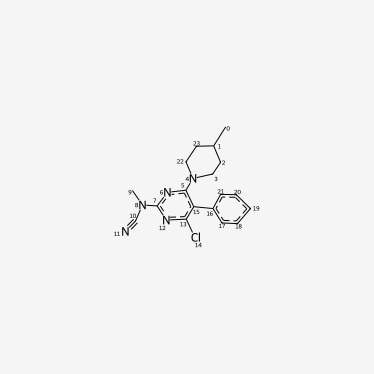 CC1CCN(c2nc(N(C)C#N)nc(Cl)c2-c2ccccc2)CC1